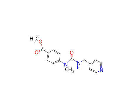 COC(=O)c1ccc(N(C)C(=O)NCc2ccncc2)cc1